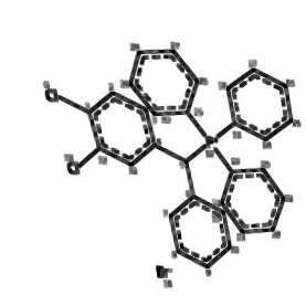 Clc1ccc(C(c2ccccc2)[P+](c2ccccc2)(c2ccccc2)c2ccccc2)cc1Cl.[Br-]